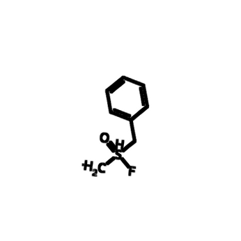 [CH2][SH](=O)(F)Cc1ccccc1